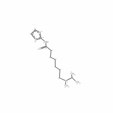 CC(C)N(C)CCCCCCC(=O)Nc1nccs1